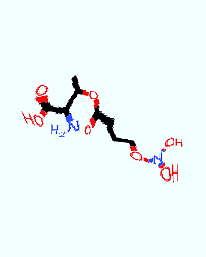 CC(OC(=O)CCCON(O)O)C(N)C(=O)O